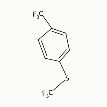 FC(F)(F)Sc1ccc(C(F)(F)F)cc1